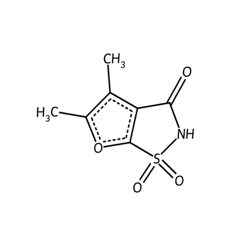 Cc1oc2c(c1C)C(=O)NS2(=O)=O